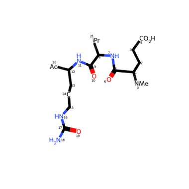 CNC(CCC(=O)O)C(=O)NC(C(=O)NC(CCCNC(N)=O)C(C)=O)C(C)C